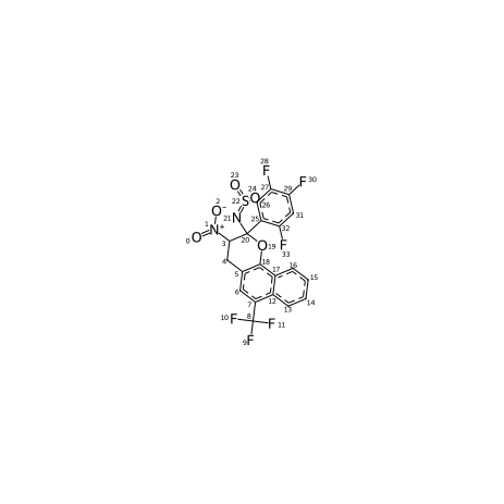 O=[N+]([O-])C1Cc2cc(C(F)(F)F)c3ccccc3c2OC1(N=S(=O)=O)c1cc(F)c(F)cc1F